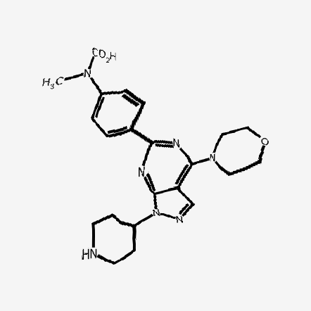 CN(C(=O)O)c1ccc(-c2nc(N3CCOCC3)c3cnn(C4CCNCC4)c3n2)cc1